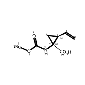 C=C[C@@H]1C[C@@]1(NC(=O)OC(C)(C)C)C(=O)O